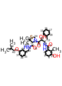 Cc1c(O)cccc1C(=O)N[C@@H](Cc1ccccc1)[C@H](O)C(=O)N1CSC(C)(C)[C@H]1C(=O)NCc1cccc(OCC(C)C)c1